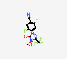 COn1c(C(F)(F)F)nn(-c2cc(F)c(C#N)cc2F)c1=O